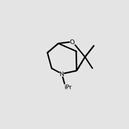 CC(C)N1CCC2CC1C(C)(C)O2